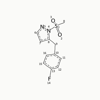 CS(=O)(=O)n1nccc1Cc1ccc(F)cc1